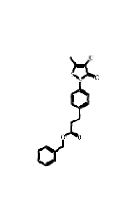 Cc1sn(-c2ccc(CCC(=O)OCc3ccccc3)cc2)c(=O)c1Cl